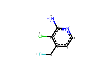 Nc1nccc(CF)c1Cl